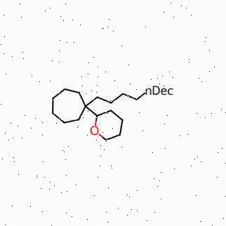 CCCCCCCCCCCCCCC1(C2CCCCO2)CCCCCC1